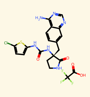 Nc1ncnc2cc(C[C@]3(NC(=O)Nc4ccc(Cl)s4)CCNC3=O)ccc12.O=C(O)C(F)(F)F